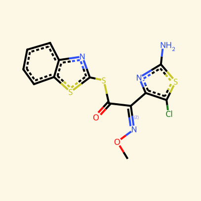 CO/N=C(\C(=O)Sc1nc2ccccc2s1)c1nc(N)sc1Cl